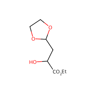 CCOC(=O)C(O)CC1OCCO1